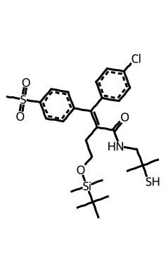 CC(C)(S)CNC(=O)/C(CCO[Si](C)(C)C(C)(C)C)=C(\c1ccc(Cl)cc1)c1ccc(S(C)(=O)=O)cc1